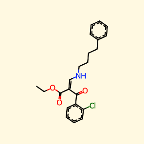 CCOC(=O)/C(=C/NCCCCc1ccccc1)C(=O)c1ccccc1Cl